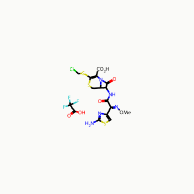 CON=C(C(=O)NC1C(=O)N2C(C(=O)O)=C(SCCl)SCC12)c1csc(N)n1.O=C(O)C(F)(F)F